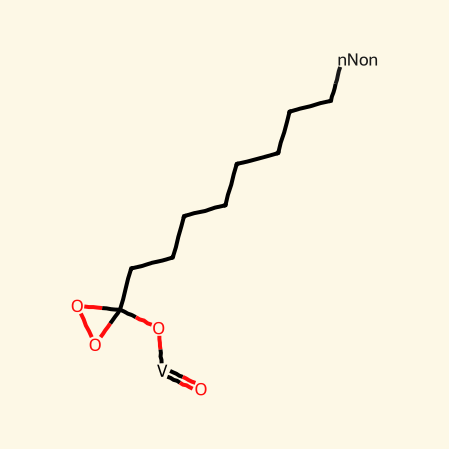 CCCCCCCCCCCCCCCCCC1([O][V]=[O])OO1